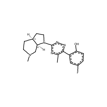 Cc1nc(N2CC[C@@H]3CCN(C)C[C@@H]32)nnc1-c1cc(F)ccc1O